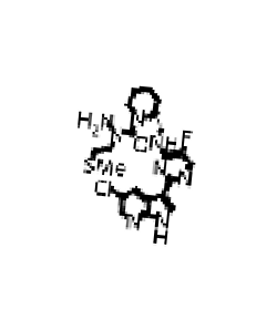 CSCCN(N)C(=O)N1CCCC[C@@H]1CNc1nc(-c2c[nH]c3c2=CC(Cl)CN=3)ncc1F